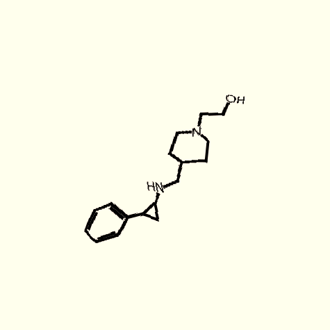 OCCN1CCC(CN[C@H]2CC2c2ccccc2)CC1